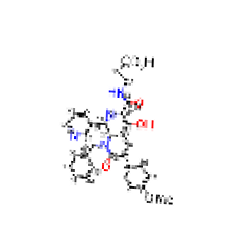 COc1ccc(-c2cc3c(O)c(C(=O)NCCC(=O)O)nc(-c4cccnc4)c3n(Cc3ccccc3)c2=O)cc1